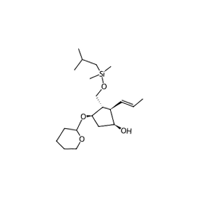 CC=C[C@@H]1[C@@H](CO[Si](C)(C)CC(C)C)[C@H](OC2CCCCO2)C[C@@H]1O